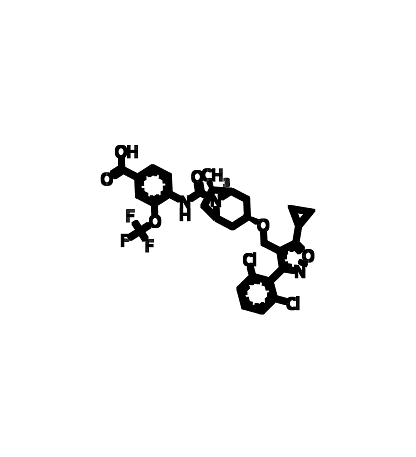 C[C@@H]1CC2C[C@H](OCc3c(-c4c(Cl)cccc4Cl)noc3C3CC3)CC1N2C(=O)Nc1ccc(C(=O)O)cc1OC(F)(F)F